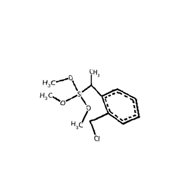 CO[Si](OC)(OC)C(C)c1ccccc1CCl